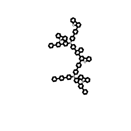 c1ccc(-c2ccc(-c3ccc(N(c4ccc(-c5ccc(-c6cc(-c7ccc(-c8ccc(N(c9ccc(-c%10ccc(-c%11cccc%12c%11oc%11ccccc%11%12)cc%10)cc9)c9ccc(-c%10ccc(-c%11ccccc%11)cc%10-n%10c%11ccccc%11c%11ccccc%11%10)cc9)cc8)c8ccccc78)cc7c6oc6ccccc67)cc5)cc4)c4ccc(-c5ccc(-c6ccccc6)cc5-n5c6ccccc6c6ccccc65)cc4)cc3)cc2)cc1